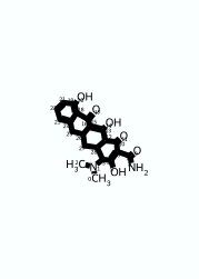 CN(C)C1C(O)=C(C(N)=O)C(=O)C2C(O)=C3C(=O)c4c(O)cccc4CC3CC21